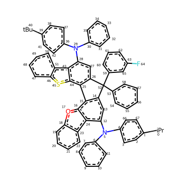 CC(C)c1ccc(N(c2ccccc2)c2cc3c(c4oc5ccccc5c24)-c2c(cc(N(c4ccccc4)c4ccc(C(C)(C)C)cc4)c4c2sc2ccccc24)C3(c2ccccc2)c2cccc(F)c2)cc1